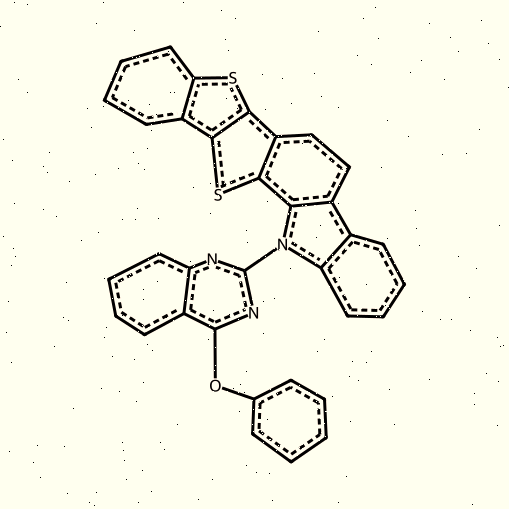 c1ccc(Oc2nc(-n3c4ccccc4c4ccc5c6sc7ccccc7c6sc5c43)nc3ccccc23)cc1